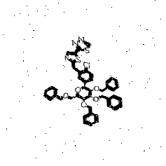 Clc1ccc([C@@H]2O[C@H](COCc3ccccc3)[C@@H](OCc3ccccc3)[C@H](OCc3ccccc3)[C@H]2OCc2ccccc2)cc1Cc1ncc(-c2nncs2)s1